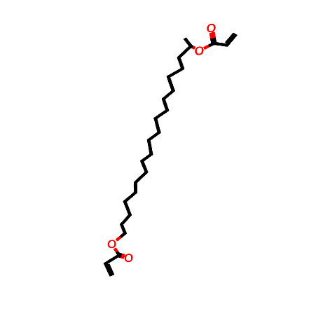 C=CC(=O)OCCCCCCCCCCCCCCCCCCC(C)OC(=O)C=C